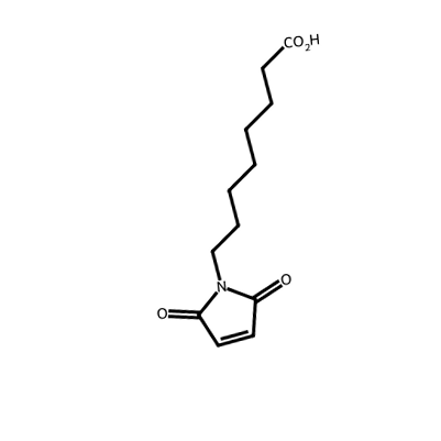 O=C(O)CCCCCCCN1C(=O)C=CC1=O